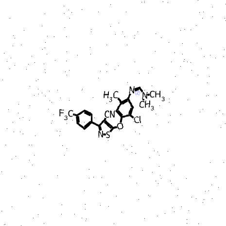 Cc1cc(Oc2snc(-c3ccc(C(F)(F)F)cc3)c2C#N)c(Cl)cc1/N=C\N(C)C